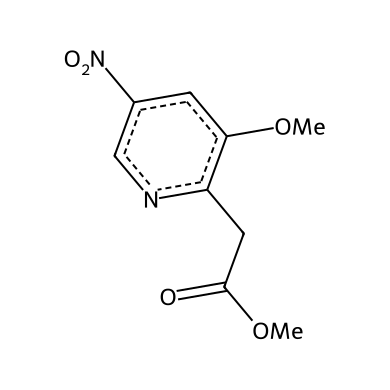 COC(=O)Cc1ncc([N+](=O)[O-])cc1OC